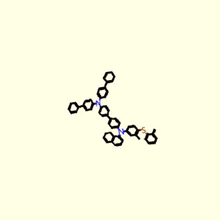 Cc1ccccc1Sc1ccc(N(c2ccc(-c3ccc(N(c4ccc(C5=CCCC=C5)cc4)c4ccc(-c5ccccc5)cc4)cc3)cc2)c2cccc3c2CCC=C3)cc1C